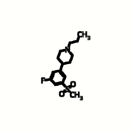 CCCN1CCC(c2cc(F)cc(S(C)(=O)=O)c2)CC1